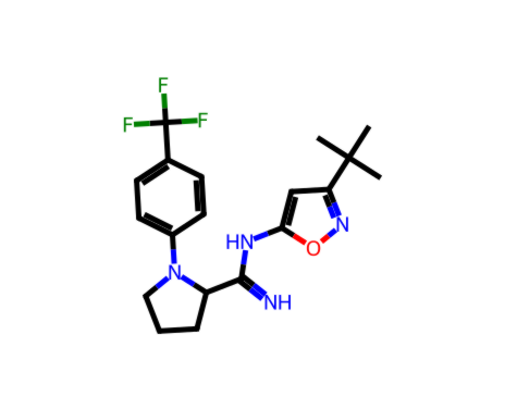 CC(C)(C)c1cc(NC(=N)C2CCCN2c2ccc(C(F)(F)F)cc2)on1